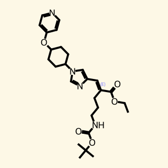 CCOC(=O)/C(=C/c1cn(C2CCC(Oc3ccncc3)CC2)cn1)CCCNC(=O)OC(C)(C)C